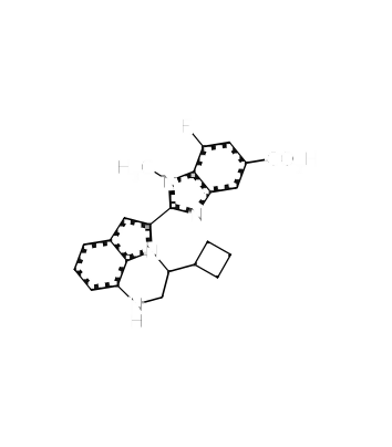 Cn1c(-c2cc3cccc4c3n2C(C2CCC2)CN4)nc2cc(C(=O)O)cc(F)c21